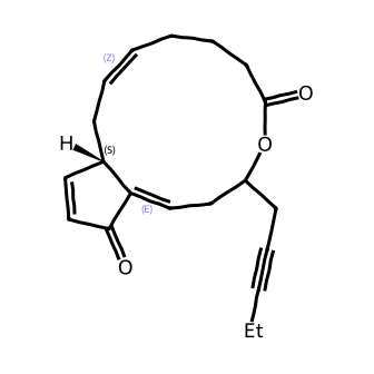 CCC#CCC1C/C=C2/C(=O)C=C[C@@H]2C/C=C\CCCC(=O)O1